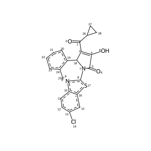 O=C(C1=C(O)C(=O)N(c2nc3ccc(Cl)cc3s2)C1c1ccccc1F)C1CC1